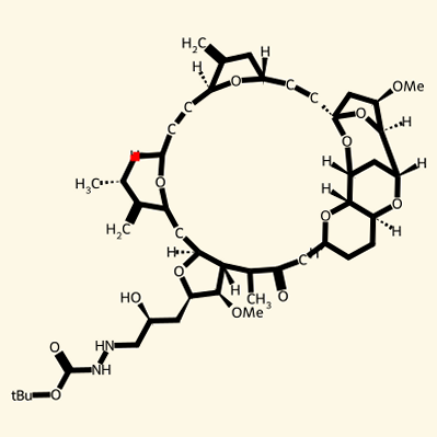 C=C1C2C[C@@H]3O[C@H](C[C@H](O)CNNC(=O)OC(C)(C)C)[C@H](OC)[C@H]3C(C)C(=O)C[C@H]3CC[C@@H]4O[C@@H]5C[C@@H](O[C@@]6(CC[C@H]7CC(=C)[C@H](CC[C@@H](C[C@H]1C)O2)O7)C[C@@H](OC)[C@@H]5O6)[C@H]4O3